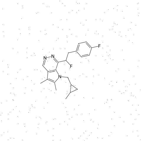 Cc1c(C)n(CC2CC2C)c2c(C(F)Cc3ccc(F)cc3)nncc12